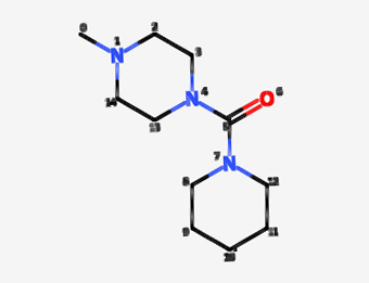 CN1CCN(C(=O)N2CC[CH]CC2)CC1